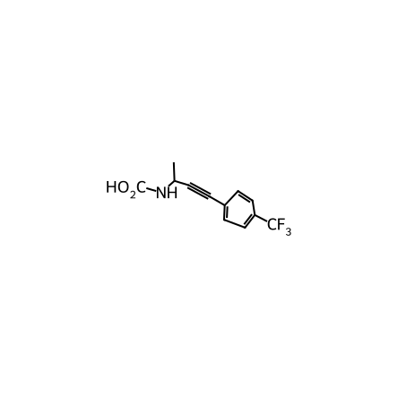 CC(C#Cc1ccc(C(F)(F)F)cc1)NC(=O)O